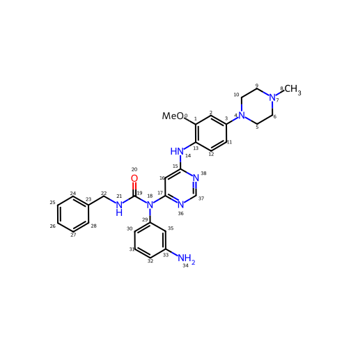 COc1cc(N2CCN(C)CC2)ccc1Nc1cc(N(C(=O)NCc2ccccc2)c2cccc(N)c2)ncn1